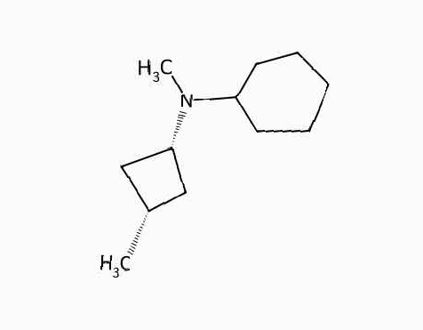 CN(C1CCCCC1)[C@H]1C[C@@H](C)C1